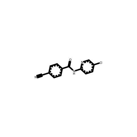 N#Cc1ccc(C(=O)Nc2ccc(Cl)cn2)cc1